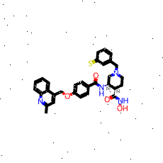 Cc1cc(COc2ccc(C(=O)N[C@@H]3CN(CC4=CC(=S)CC=C4)CC[C@@H]3C(=O)NO)cc2)c2ccccc2n1